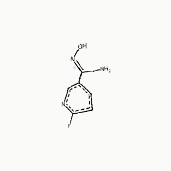 N/C(=N\O)c1ccc(F)nc1